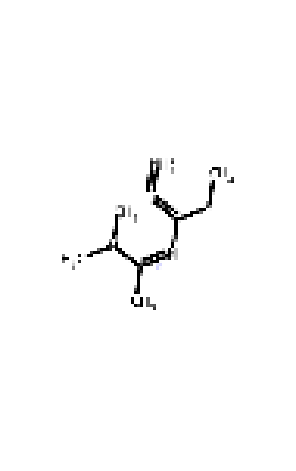 CSC(/N=C(/C)N(C)C)=[I-]=[NH2+]